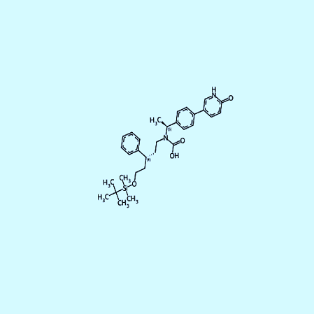 C[C@@H](c1ccc(-c2ccc(=O)[nH]c2)cc1)N(CC[C@H](CCO[Si](C)(C)C(C)(C)C)c1ccccc1)C(=O)O